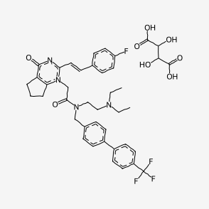 CCN(CC)CCN(Cc1ccc(-c2ccc(C(F)(F)F)cc2)cc1)C(=O)Cn1c(C=Cc2ccc(F)cc2)nc(=O)c2c1CCC2.O=C(O)C(O)C(O)C(=O)O